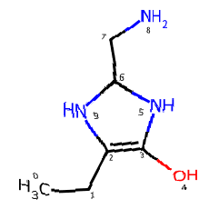 CCC1=C(O)NC(CN)N1